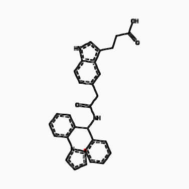 O=C(O)CCc1c[nH]c2ccc(CC(=O)NC(c3ccccc3)c3ccccc3-n3cccc3)cc12